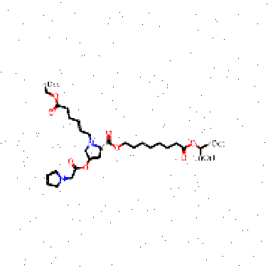 CCCCCCCCCCCOC(=O)CCCCCN1CC(OC(=O)CN2CCCC2)C[C@H]1C(=O)OCCCCCCCC(=O)OC(CCCCCCCC)CCCCCCCC